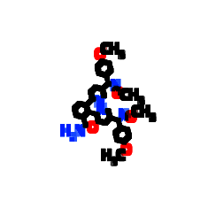 CON=C(c1ccc(OC)cc1)c1ccc(-c2cccc(C(N)=O)c2-c2ccc(C(=NOC)c3ccc(OC)cc3)cn2)nc1